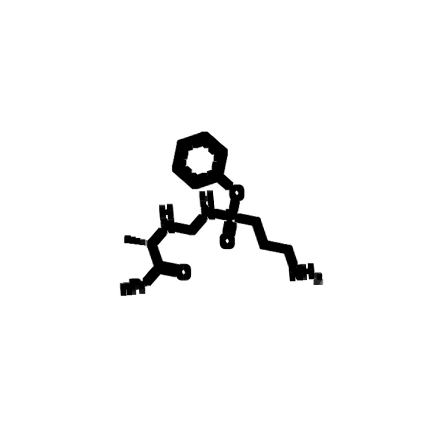 CCCC(=O)[C@H](C)NCNP(=O)(CCCN)Oc1ccccc1